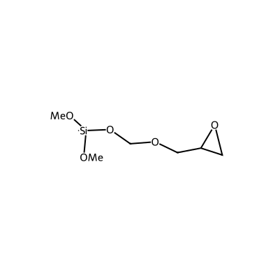 CO[Si](OC)OCOCC1CO1